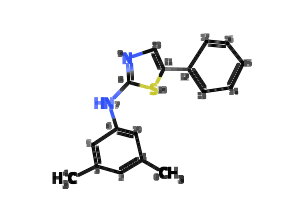 Cc1cc(C)cc(Nc2ncc(-c3ccccc3)s2)c1